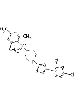 Cc1cc(C)c(S(=O)(=O)C2CCN(c3nc(-c4ccc(Cl)cc4Cl)cs3)CC2)c(C)c1